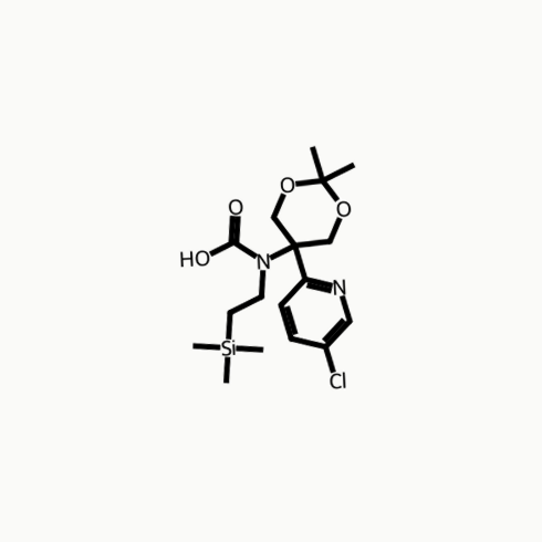 CC1(C)OCC(c2ccc(Cl)cn2)(N(CC[Si](C)(C)C)C(=O)O)CO1